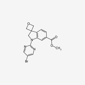 COC(=O)c1ccc2c(c1)N(c1ncc(Br)cn1)CC21COC1